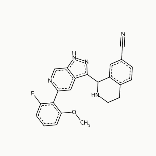 COc1cccc(F)c1-c1cc2c(C3NCCc4ccc(C#N)cc43)n[nH]c2cn1